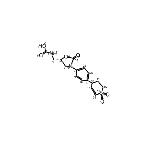 O=C(O)NC[C@H]1CN(c2ccc(C3C=CS(=O)(=O)CC3)cc2)C(=O)O1